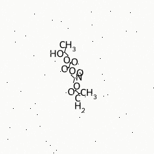 C=C(C)C(=O)OCC(COC(=O)C(=O)OCC(O)CC)N=O